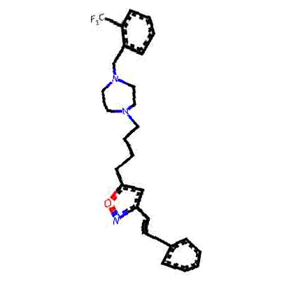 FC(F)(F)c1ccccc1CN1CCN(CCCCc2cc(C=Cc3ccccc3)no2)CC1